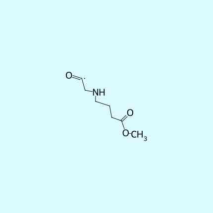 COC(=O)CCCNC[C]=O